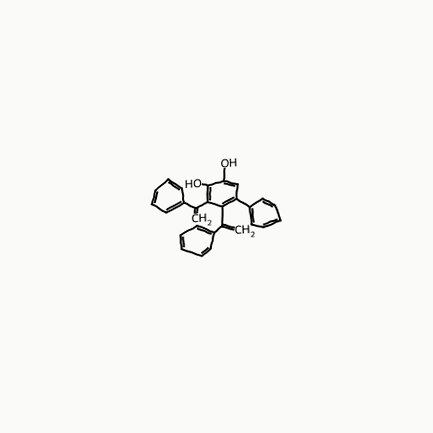 C=C(c1ccccc1)c1c(-c2ccccc2)cc(O)c(O)c1C(=C)c1ccccc1